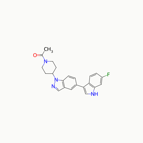 CC(=O)N1CCC(n2ncc3cc(-c4c[nH]c5cc(F)ccc45)ccc32)CC1